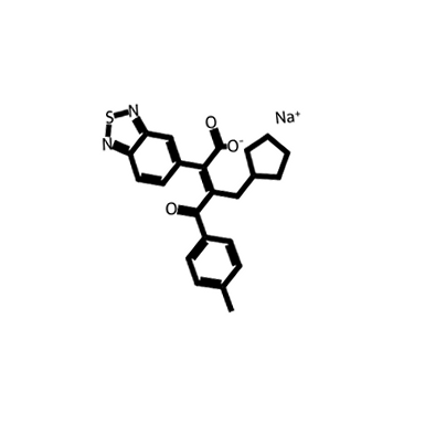 Cc1ccc(C(=O)C(CC2CCCC2)=C(C(=O)[O-])c2ccc3nsnc3c2)cc1.[Na+]